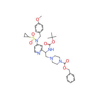 COc1ccc(CN(c2ccnc(C(CN3CCN(C(=O)OCc4ccccc4)CC3)NC(=O)OC(C)(C)C)c2)S(=O)(=O)C2CC2)cc1